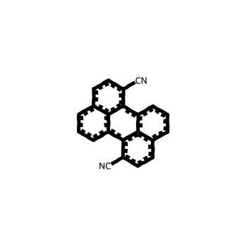 N#Cc1ccc2cccc3c4c(C#N)ccc5cccc(c1c23)c54